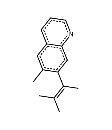 CC(C)=C(C)c1cc2ncccc2cc1C